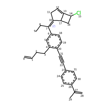 C=CCCc1cc(/C(CC)=C2/CC=C3C(Cl)CC32)ccc1C#Cc1ccc(C(=C)C)cc1